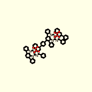 c1ccc(-c2ccc3nc(-n4c5ccccc5c5cc(-c6ccc(-c7ccc8oc(-n9c%10ccccc%10c%10ccc%11c%12ccccc%12n(-c%12nc(-c%13ccccc%13)nc(-c%13ccccc%13)n%12)c%11c%109)nc8c7)cc6)c6c7ccccc7n(-c7nc(-c8ccccc8)nc(-c8ccccc8)n7)c6c54)oc3c2)cc1